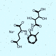 Cc1ccccc1O.N[C@@H](CCC(=O)O)C(=O)[O-].O=C(O)C(O)C(O)C(=O)O.[Na+]